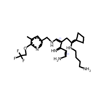 Cc1cc(CN/C=C(/CC(NCCCCN)=C2CCC2)C(=N)/C=C\N)cnc1OCC(F)(F)F